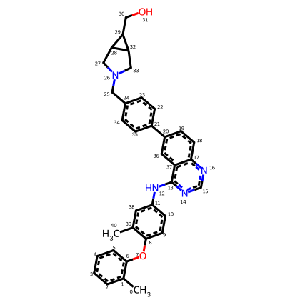 Cc1ccccc1Oc1ccc(Nc2ncnc3ccc(-c4ccc(CN5CC6C(CO)C6C5)cc4)cc23)cc1C